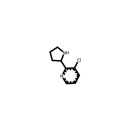 Clc1cccnc1C1CCCN1